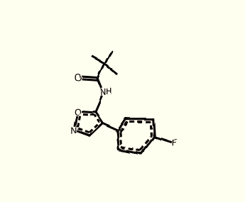 CC(C)(C)C(=O)Nc1oncc1-c1ccc(F)cc1